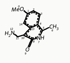 COc1ccc2c(C)[nH]c(=O)c(CN)c2c1